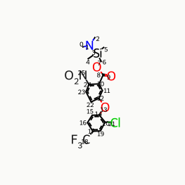 CN(C)[Si](C)(C)COC(=O)c1cc(Oc2ccc(C(F)(F)F)cc2Cl)ccc1[N+](=O)[O-]